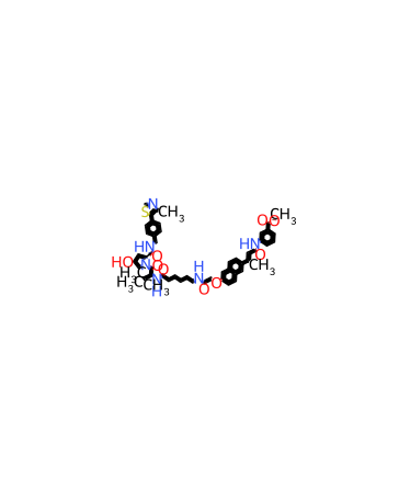 COC(=O)c1cccc(NC(=O)/C=C(\C)c2ccc3cc(OCC(=O)NCCCCCC(=O)N[C@@H](C(=O)N4C[C@H](O)C[C@H]4C(=O)NCc4ccc(-c5scnc5C)cc4)C(C)(C)C)ccc3c2)c1